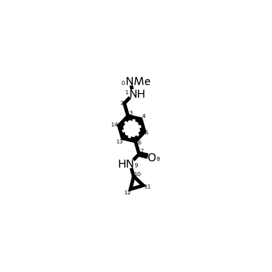 CNNCc1ccc(C(=O)NC2CC2)cc1